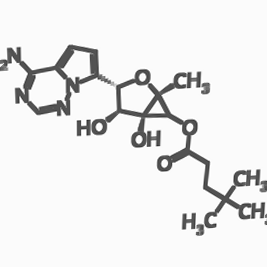 CC(C)(C)CCC(=O)OC1[C@@]2(C)O[C@@H](c3ccc4c(N)ncnn34)[C@H](O)[C@@]12O